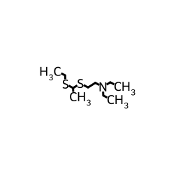 CCSC(C)SCCN(CC)CC